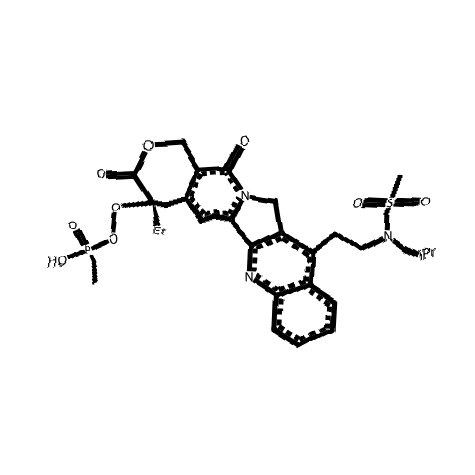 CC[C@@]1(OOP(C)(=O)O)C(=O)OCc2c1cc1n(c2=O)Cc2c-1nc1ccccc1c2CCN(C(C)C)S(C)(=O)=O